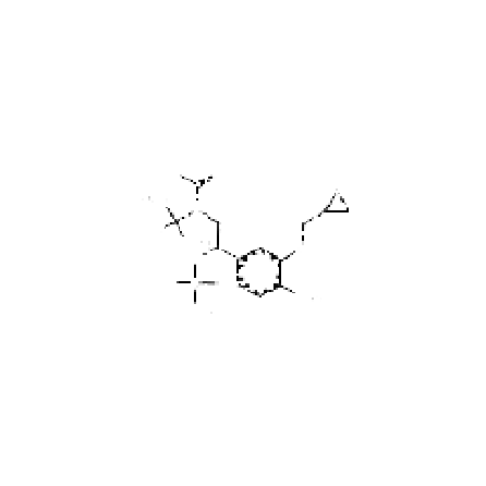 COc1ccc(C(CN(C(N)=O)C(C)(OC)OC)O[Si](C)(C)C)cc1OCC1CC1